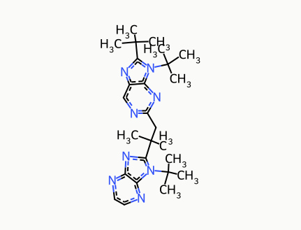 CC(C)(C)c1nc2cnc(CC(C)(C)c3nc4nccnc4n3C(C)(C)C)nc2n1C(C)(C)C